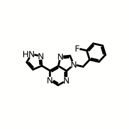 Fc1ccccc1Cn1cnc2c(-c3cc[nH]n3)ncnc21